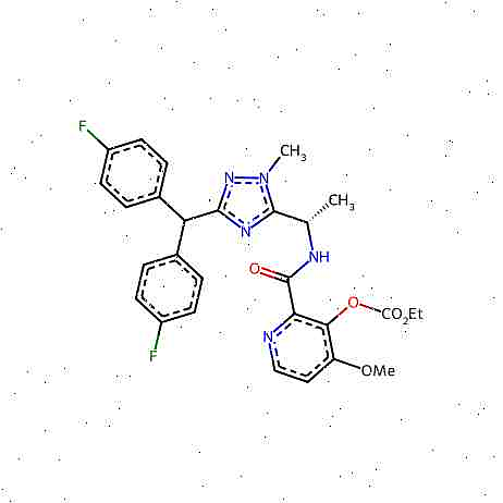 CCOC(=O)Oc1c(OC)ccnc1C(=O)N[C@@H](C)c1nc(C(c2ccc(F)cc2)c2ccc(F)cc2)nn1C